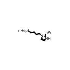 CCCCCCCCCCC[n+]1cc[nH]c1CCC